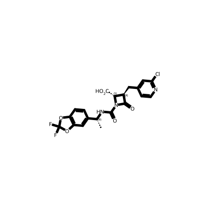 C[C@@H](NC(=O)N1C(=O)[C@H](Cc2ccnc(Cl)c2)[C@H]1C(=O)O)c1ccc2c(c1)OC(F)(F)O2